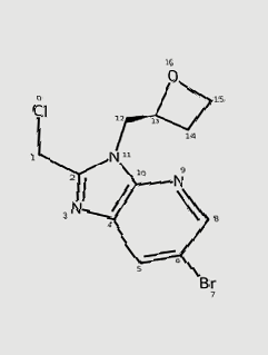 ClCc1nc2cc(Br)cnc2n1C[C@@H]1CCO1